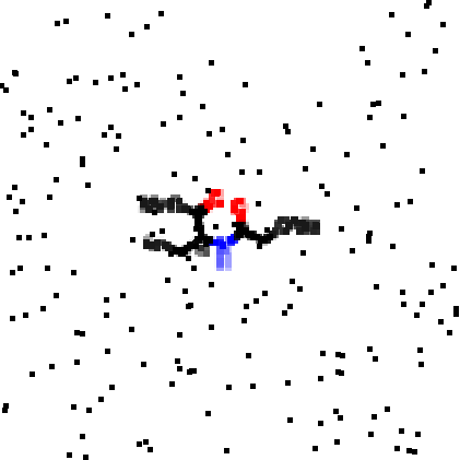 COCC(=O)N[C@@H](CC(C)=O)C(=O)OC